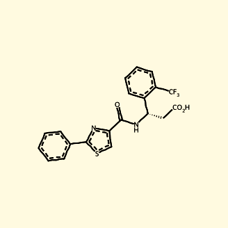 O=C(O)C[C@H](NC(=O)c1csc(-c2ccccc2)n1)c1ccccc1C(F)(F)F